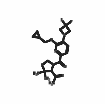 CC1(C)SCN(C(=O)c2ccc(N3CC(F)(F)C3)c(OCC3CC3)n2)C1C(N)=O